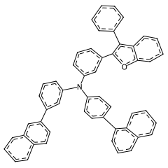 c1ccc(-c2c(-c3cccc(N(c4ccc(-c5cccc6ccccc56)cc4)c4cccc(-c5ccc6ccccc6c5)c4)c3)oc3ccccc23)cc1